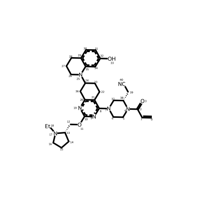 C=CC(=O)N1CCN(c2nc(OC[C@@H]3CCCN3CC)nc3c2CCC(N2CCCc4ccc(O)cc42)C3)C[C@@H]1CC#N